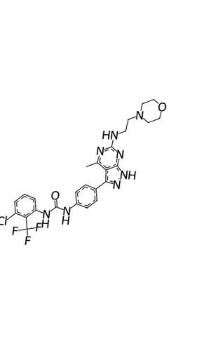 Cc1nc(NCCN2CCOCC2)nc2[nH]nc(-c3ccc(NC(=O)Nc4cccc(Cl)c4C(F)(F)F)cc3)c12